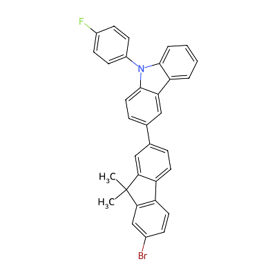 CC1(C)c2cc(Br)ccc2-c2ccc(-c3ccc4c(c3)c3ccccc3n4-c3ccc(F)cc3)cc21